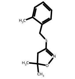 Cc1ccccc1CSC1=NOC(C)(C)C1